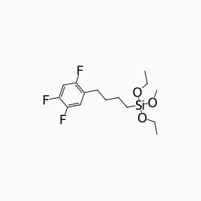 CCO[Si](CCCCc1cc(F)c(F)cc1F)(OC)OCC